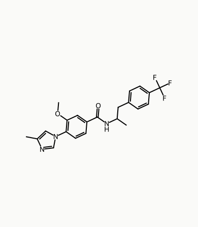 COc1cc(C(=O)NC(C)Cc2ccc(C(F)(F)F)cc2)ccc1-n1cnc(C)c1